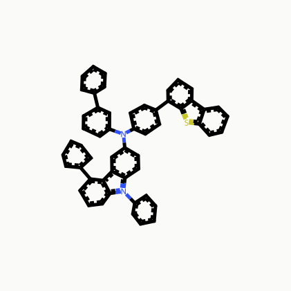 c1ccc(-c2cccc(N(c3ccc(-c4cccc5c4sc4ccccc45)cc3)c3ccc4c(c3)c3c(-c5ccccc5)cccc3n4-c3ccccc3)c2)cc1